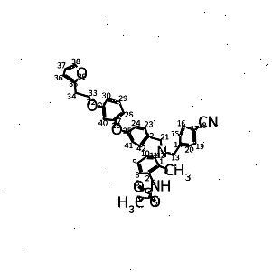 Cc1c(NS(C)(=O)=O)cccc1N(Cc1ccc(C#N)cc1)Cc1ccc(Oc2cccc(OCCc3ccco3)c2)cc1